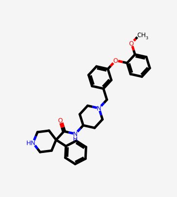 COc1ccccc1Oc1cccc(CN2CCC(NC(=O)C3(c4ccccc4)CCNCC3)CC2)c1